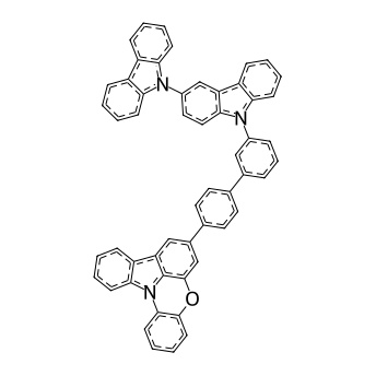 c1cc(-c2ccc(-c3cc4c5c(c3)c3ccccc3n5-c3ccccc3O4)cc2)cc(-n2c3ccccc3c3cc(-n4c5ccccc5c5ccccc54)ccc32)c1